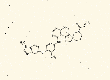 C=CC(=O)N1CCCC2(COC(c3c(N)ncnc3Nc3ccc(Oc4ccc5c(c4)ncn5C)c(C)c3)=N2)C1